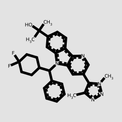 Cc1nnn(C)c1-c1cnc2c3ccc(C(C)(C)O)cc3n(C(c3ccccc3)C3CCC(F)(F)CC3)c2c1